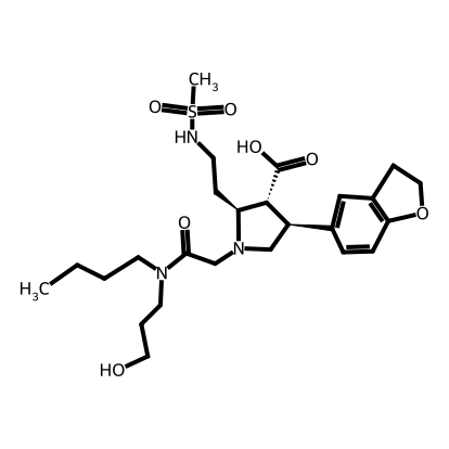 CCCCN(CCCO)C(=O)CN1C[C@H](c2ccc3c(c2)CCO3)[C@@H](C(=O)O)[C@@H]1CCNS(C)(=O)=O